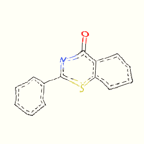 O=c1nc(-c2ccccc2)sc2ccccc12